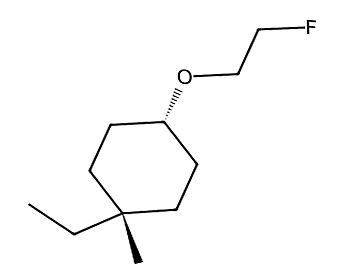 CC[C@]1(C)CC[C@H](OCCF)CC1